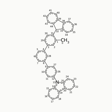 Cc1cc(-c2cccc(-c3ccc(-n4c5ccccc5c5ccccc54)cc3)c2)ccc1C1c2ccccc2-c2ccccc21